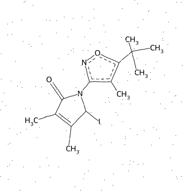 CC1=C(C)C(I)N(c2noc(C(C)(C)C)c2C)C1=O